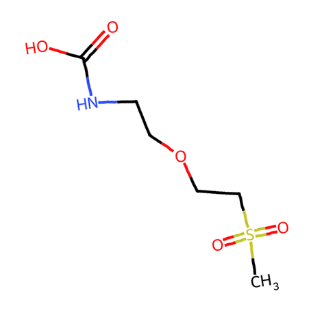 CS(=O)(=O)CCOCCNC(=O)O